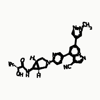 CC(C)[C@@H](O)C(=O)NC1[C@H]2CN(c3ccc(-c4cc(-c5cnn(C)c5)cn5ncc(C#N)c45)cn3)C[C@@H]12